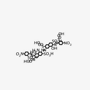 Nc1c(N=Nc2cc3c(O)c(N=Nc4ccc([N+](=O)[O-])cc4SOOO)c(S(=O)(=O)O)cc3cc2SOOO)c(S(=O)(=O)O)cc2cc(SOOO)c(N=Nc3ccc([N+](=O)[O-])cc3S(=O)(=O)O)c(O)c12